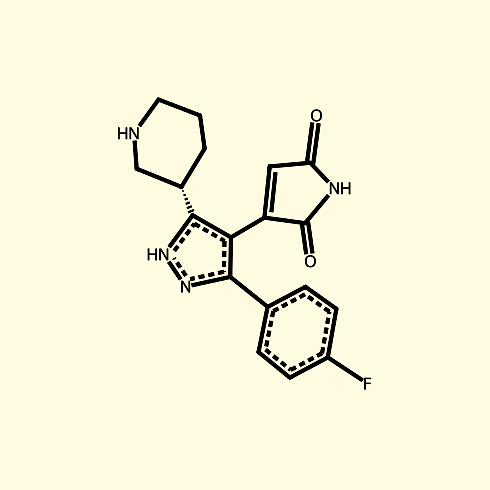 O=C1C=C(c2c(-c3ccc(F)cc3)n[nH]c2[C@H]2CCCNC2)C(=O)N1